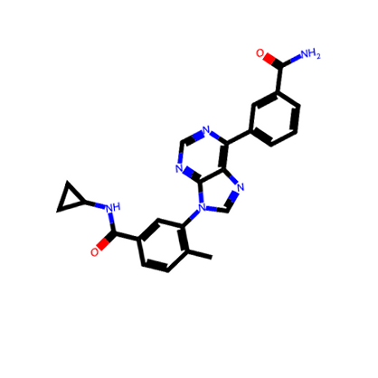 Cc1ccc(C(=O)NC2CC2)cc1-n1cnc2c(-c3cccc(C(N)=O)c3)ncnc21